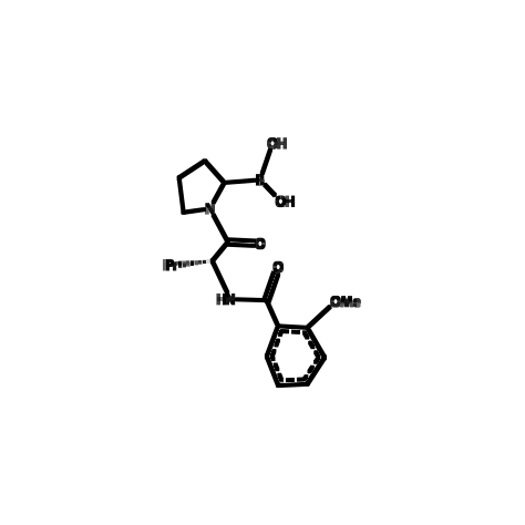 COc1ccccc1C(=O)N[C@@H](C(=O)N1CCCC1B(O)O)C(C)C